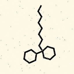 CCCCCCCCC1(C2CCCCC2)CCCCC1